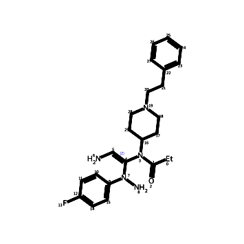 CCC(=O)N(/C(=C/N)N(N)c1ccc(F)cc1)C1CCN(CCc2ccccc2)CC1